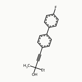 CCC(C)(O)C#Cc1ccc(-c2ccc(F)cc2)cc1